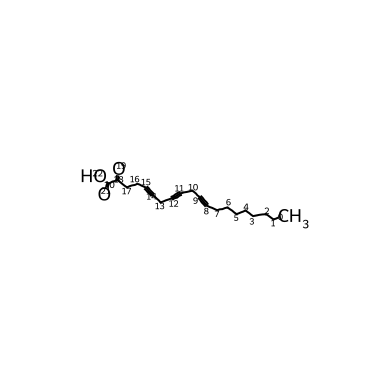 CCCCCCCCC#CCC#CCC#CCCC(=O)C(=O)O